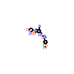 N#Cc1cc(CNc2nnc(-c3ccc(OC(F)(F)F)cc3)o2)cc2c1CN(C1CCC(=O)NC1=O)C2=O